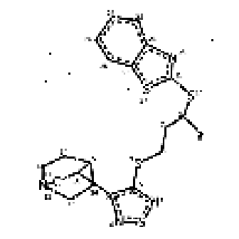 CC(CCSc1nsnc1C1CN2CCC1CC2)Sc1nc2ccccc2s1